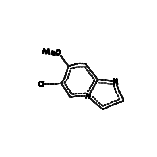 COc1cc2nccn2cc1Cl